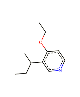 CCOc1ccncc1C(C)CC